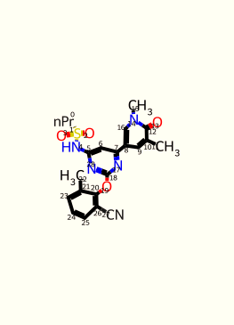 CCCS(=O)(=O)Nc1cc(-c2cc(C)c(=O)n(C)c2)nc(Oc2c(C)cccc2C#N)n1